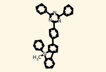 C[Si]1(c2ccccc2)c2ccccc2-c2ccc(-c3ccc(-c4nc(-c5ccccc5)nc(-c5ccccc5)n4)cc3)cc21